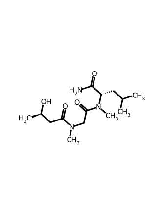 CC(C)C[C@@H](C(N)=O)N(C)C(=O)CN(C)C(=O)C[C@@H](C)O